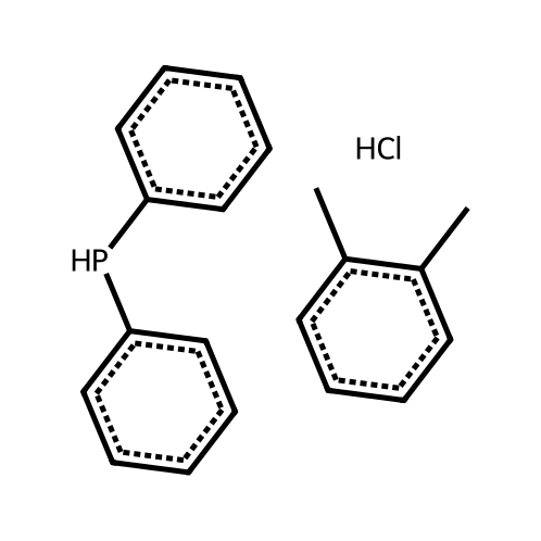 Cc1ccccc1C.Cl.c1ccc(Pc2ccccc2)cc1